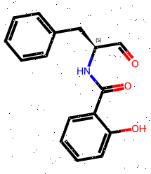 O=C[C@H](Cc1ccccc1)NC(=O)c1ccccc1O